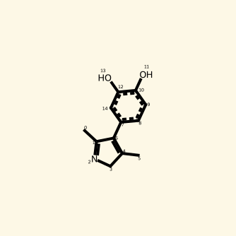 CC1=NCC(C)=C1c1ccc(O)c(O)c1